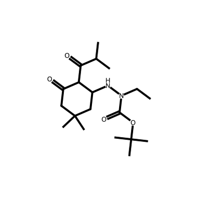 CCN(NC1CC(C)(C)CC(=O)C1C(=O)C(C)C)C(=O)OC(C)(C)C